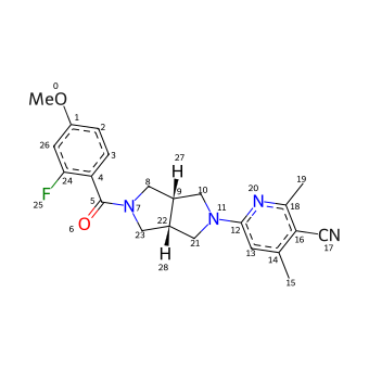 COc1ccc(C(=O)N2C[C@@H]3CN(c4cc(C)c(C#N)c(C)n4)C[C@@H]3C2)c(F)c1